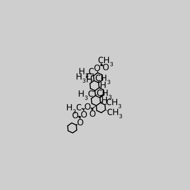 CC(=O)O[C@H]1CC[C@]2(C)[C@H]3CC=C4[C@@H]5[C@@H](C)[C@H](C)CC[C@]5(C(=O)OC(C)OC(=O)OC5CCCCC5)CC[C@@]4(C)[C@]3(C)CC[C@H]2C1(C)C